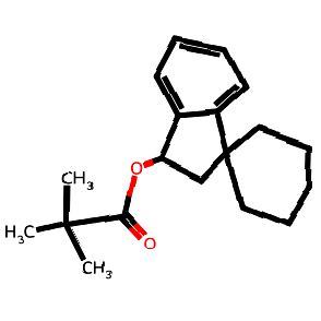 CC(C)(C)C(=O)OC1CC2(CCCCC2)c2ccccc21